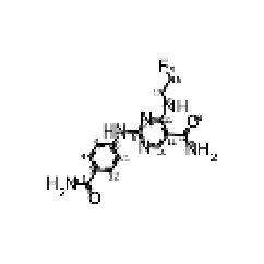 NC(=O)c1ccc(Nc2ncc(C(N)=O)c(NCCF)n2)cc1